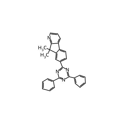 CC1(C)c2cc(-c3nc(-c4ccccc4)nc(-c4ccccc4)n3)ccc2-c2cccnc21